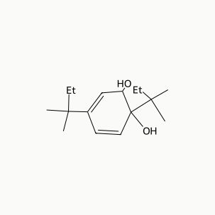 CCC(C)(C)C1=CC(O)C(O)(C(C)(C)CC)C=C1